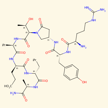 CC(C)C[C@@H](NC(=O)[C@@H](CCC(=O)O)NC(=O)[C@H](NC(=O)[C@@H]([C@@H](C)O)N1C[C@@H](NC(=O)[C@@H](Cc2ccc(O)cc2)NC(=O)[C@H](N)CCCNC(=N)N)CC1=O)C(C)C)C(=O)N[C@H](C)C(N)=O